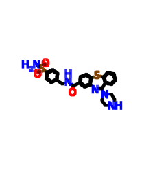 NS(=O)(=O)c1ccc(CNC(=O)c2ccc3c(c2)N=C(N2CCNCC2)c2ccccc2S3)cc1